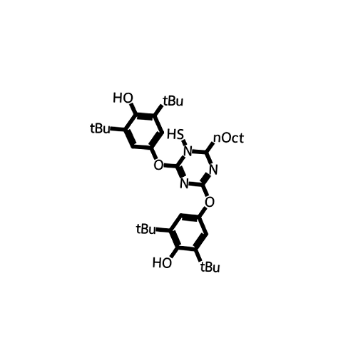 CCCCCCCCC1N=C(Oc2cc(C(C)(C)C)c(O)c(C(C)(C)C)c2)N=C(Oc2cc(C(C)(C)C)c(O)c(C(C)(C)C)c2)N1S